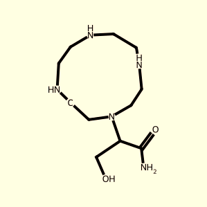 NC(=O)C(CO)N1CCNCCNCCNCC1